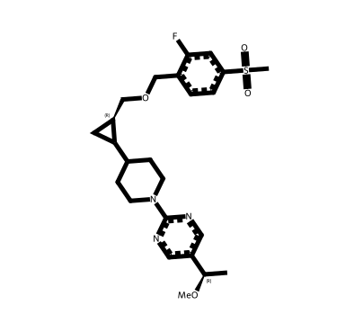 CO[C@H](C)c1cnc(N2CCC(C3C[C@H]3COCc3ccc(S(C)(=O)=O)cc3F)CC2)nc1